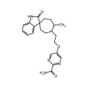 CC1CCC2(CCN1CCOc1cnc(C(N)=O)nc1)C(=O)Nc1ccccc12